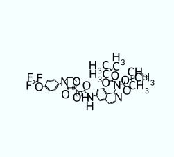 CC(C)(C)OC(=O)N(C(=O)OC(C)(C)C)c1nccc2cc(NC(=O)[C@H](O)[C@H]3OCCN(c4ccc(OC(F)(F)F)cc4)C3=O)ccc12